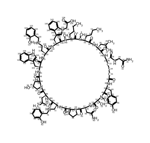 CCCC[C@H]1C(=O)N(C)[C@@H](CCCC)C(=O)N[C@@H](CC(C)C)C(=O)N[C@H](C(=O)NCC(N)=O)CSCC(=O)N[C@@H](Cc2ccc(O)cc2)C(=O)N(C)[C@@H](C)C(=O)N[C@@H](CC(N)=O)C(=O)N2CCC[C@H]2C(=O)N[C@@H](CNCc2ccccc2O)C(=O)N[C@@H](CC(C)C)C(=O)N2C[C@H](O)C[C@H]2C(=O)N[C@@H](Cc2c[nH]c3ccccc23)C(=O)N[C@@H](CCNCc2ccccc2O)C(=O)N[C@@H](Cc2cn(CC(=O)O)c3ccccc23)C(=O)N1C